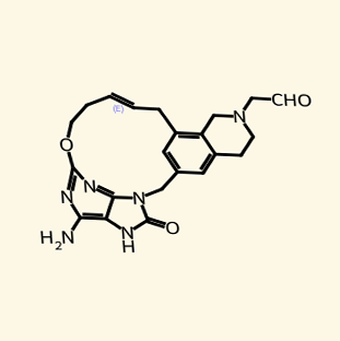 Nc1nc2nc3c1[nH]c(=O)n3Cc1cc(c3c(c1)CCN(CC=O)C3)C/C=C/CCO2